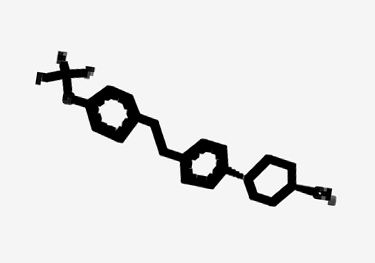 C[C@H]1CC[C@H](c2ccc(CCc3ccc(OC(F)(F)F)cc3)cc2)CC1